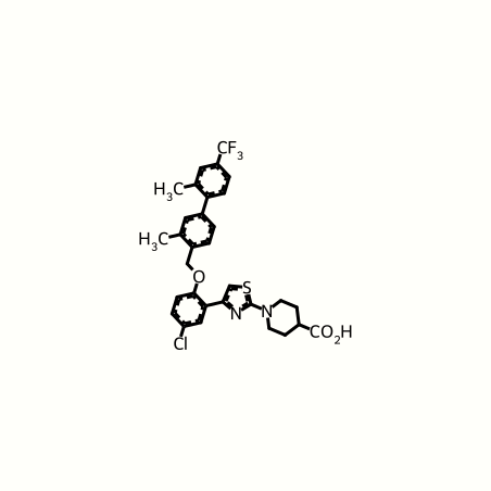 Cc1cc(-c2ccc(C(F)(F)F)cc2C)ccc1COc1ccc(Cl)cc1-c1csc(N2CCC(C(=O)O)CC2)n1